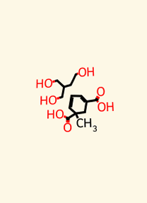 CC1(C(=O)O)C=CC=C(C(=O)O)C1.OCCC(CO)CO